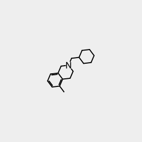 Cc1cccc2c1CCN(CC1CCCCC1)C2